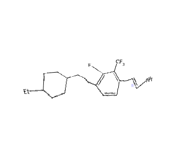 CCC/C=C/c1ccc(CCC2CCC(CC)CC2)c(F)c1C(F)(F)F